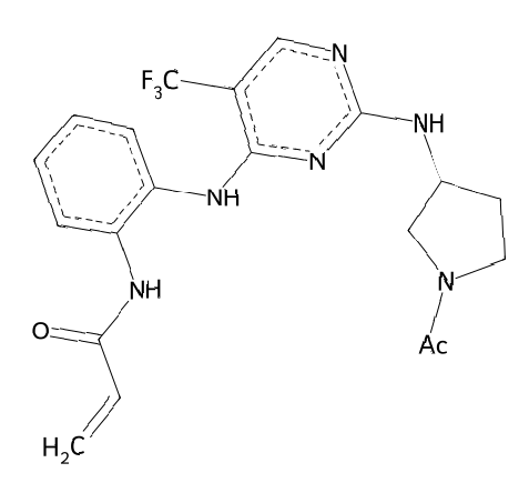 C=CC(=O)Nc1ccccc1Nc1nc(NC2CCN(C(C)=O)C2)ncc1C(F)(F)F